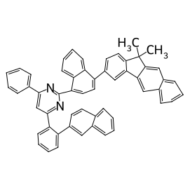 CC1(C)c2ccc(-c3ccc(-c4nc(-c5ccccc5)cc(-c5ccccc5-c5ccc6ccccc6c5)n4)c4ccccc34)cc2-c2cc3ccccc3cc21